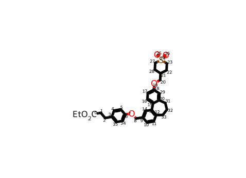 CCOC(=O)CCc1ccc(OCc2ccc3c(c2)-c2ccc(OCC4CCS(=O)(=O)CC4)cc2CCC3)cc1